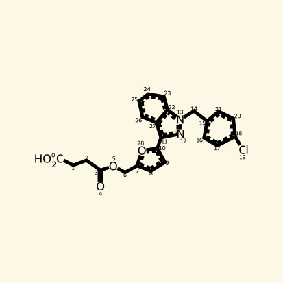 O=C(O)CCC(=O)OCc1ccc(-c2nn(Cc3ccc(Cl)cc3)c3ccccc23)o1